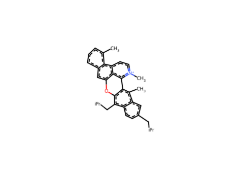 Cc1c2c(c(CC(C)C)c3ccc(CC(C)C)cc13)Oc1cc3cccc(C)c3c3cc[n+](C)c-2c13